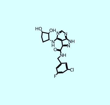 O=C(NCc1cc(F)cc(Cl)c1)c1n[nH]c2ncnc(N[C@@H]3CC[C@@H](O)[C@H]3O)c12